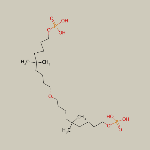 CC(C)(CCCCOCCCCC(C)(C)CCCCOP(=O)(O)O)CCCCOP(=O)(O)O